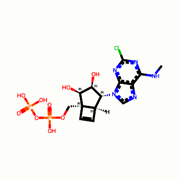 CNc1nc(Cl)nc2c1ncn2[C@H]1[C@H](O)[C@H](O)[C@]2(COP(=O)(O)OP(=O)(O)O)C=C[C@H]12